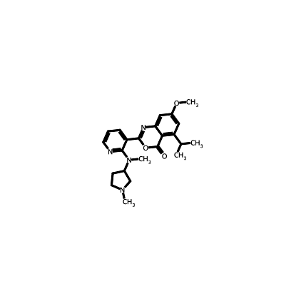 COc1cc(C(C)C)c2c(=O)oc(-c3cccnc3N(C)C3CCN(C)C3)nc2c1